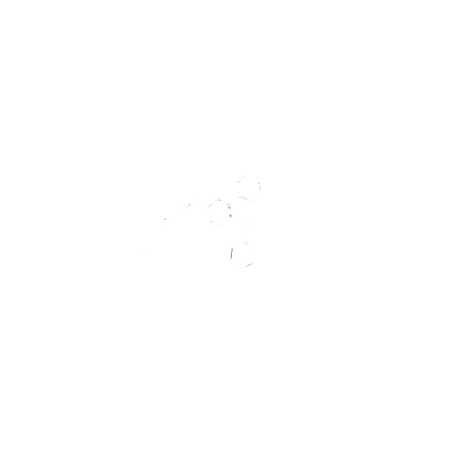 Cc1cccc(OC(F)(F)F)c1C1=C(c2ccc(C=C3CN(CCCF)C3)cc2)c2ccc(C(=O)O)cc2CCC1